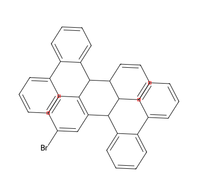 Brc1ccc2c(c1)C(c1ccccc1-c1ccccc1)C1C=CC=CC1C2c1ccccc1-c1ccccc1